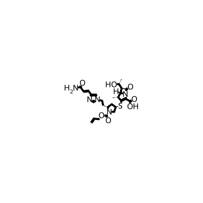 C=CCOC(=O)N1C[C@@H](SC2=C(C(=O)O)N3C(=O)[C@H]([C@@H](C)O)[C@H]3[C@H]2C)C[C@H]1CCn1cnc(/C=C/C(N)=O)c1